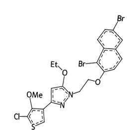 CCOc1cc(-c2csc(Cl)c2OC)nn1CCOc1ccc2cc(Br)ccc2c1Br